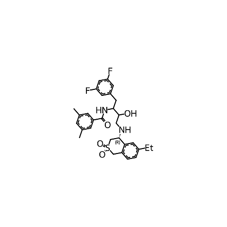 CCc1ccc2c(c1)[C@@H](NCC(O)C(Cc1cc(F)cc(F)c1)NC(=O)c1cc(C)cc(C)c1)CS(=O)(=O)C2